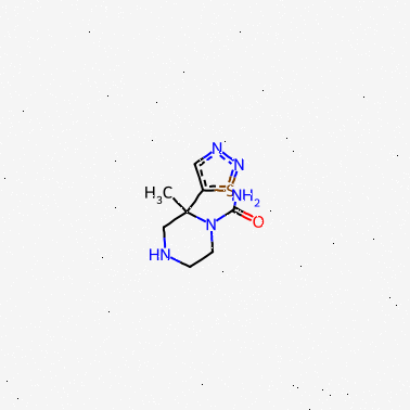 CC1(c2cnns2)CNCCN1C(N)=O